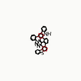 c1ccc(-c2ccccc2-c2nnnc(-c3cccc4sc5ccccc5c34)c2-c2c(-c3ccccc3)cccc2-c2cccc3c2[nH]c2ccccc23)cc1